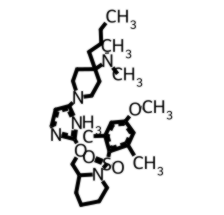 CCCCC1(N(C)C)CCN(c2ccnc(OCC3CCCCN3S(=O)(=O)c3c(C)cc(OC)cc3C)n2)CC1